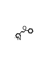 O=C(C=Cc1cc[c]nc1)c1ccccc1